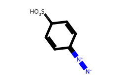 [N-]=[N+]=C1C=CC(S(=O)(=O)O)C=C1